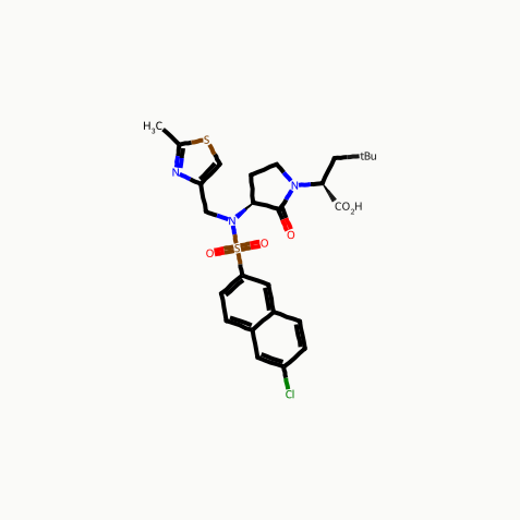 Cc1nc(CN([C@H]2CCN([C@@H](CC(C)(C)C)C(=O)O)C2=O)S(=O)(=O)c2ccc3cc(Cl)ccc3c2)cs1